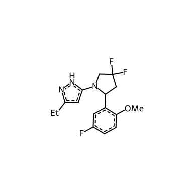 CCc1cc(N2CC(F)(F)CC2c2cc(F)ccc2OC)[nH]n1